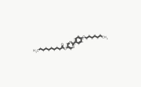 CCCCCCCCCC(=O)Oc1cnc(-c2ccc(OCCCCCCC)cc2)nc1